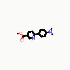 COC(=O)c1ccc(-c2ccc(N(C)C)cc2)nc1